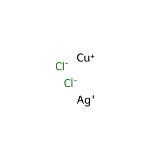 [Ag+].[Cl-].[Cl-].[Cu+]